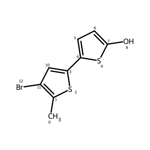 Cc1sc(-c2ccc(O)s2)cc1Br